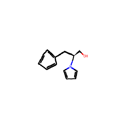 OC[C@H](Cc1ccccc1)n1cccc1